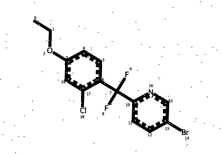 CCOc1ccc(C(F)(F)c2ccc(Br)cn2)c(Cl)c1